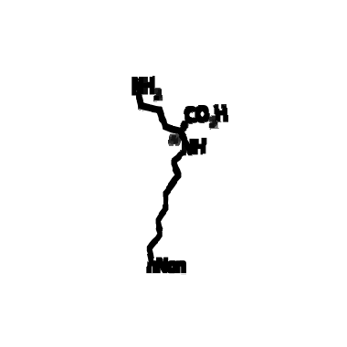 CCCCCCCCCCCCCCCCN[C@@H](CCCN)C(=O)O